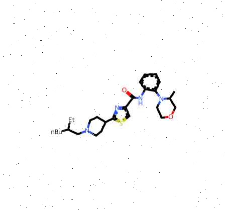 CCCCC(CC)CN1CCC(c2nc(C(=O)Nc3ccccc3N3CCOCC3C)cs2)CC1